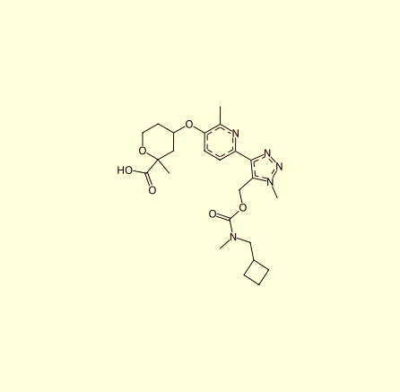 Cc1nc(-c2nnn(C)c2COC(=O)N(C)CC2CCC2)ccc1OC1CCOC(C)(C(=O)O)C1